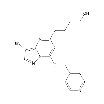 OCCCCc1cc(OCc2ccncc2)n2ncc(Br)c2n1